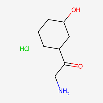 Cl.NCC(=O)C1CCCC(O)C1